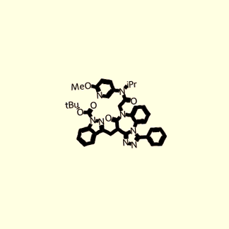 COc1ccc(N(C(=O)CN2C(=O)C(Cc3nn(C(=O)OC(C)(C)C)c4ccccc34)c3nnc(-c4ccccc4)n3-c3ccccc32)C(C)C)cn1